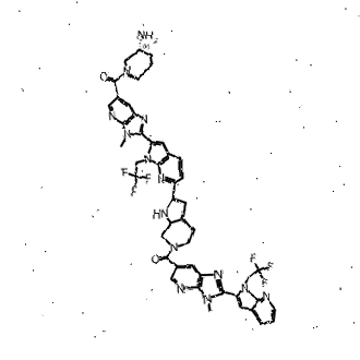 Cn1c(-c2cc3cccnc3n2CC(F)(F)F)nc2cc(C(=O)N3CCC4CC(c5ccc6cc(-c7nc8cc(C(=O)N9CCC[C@@H](N)C9)cnc8n7C)n(CC(F)(F)F)c6n5)NC4C3)cnc21